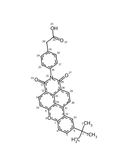 CC(C)(C)c1ccc2oc3ccc4c(=O)n(-c5ccc(CC(=O)O)cc5)c(=O)c5ccc(c2c1)c3c45